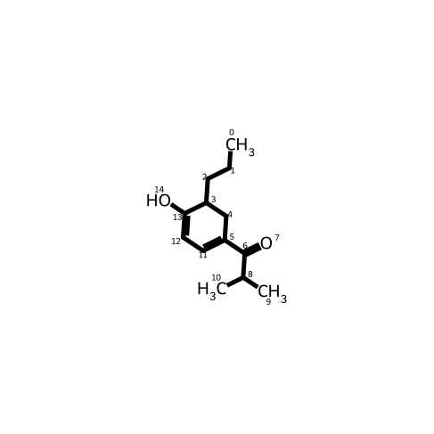 CCCC1CC(C(=O)C(C)C)=CC=C1O